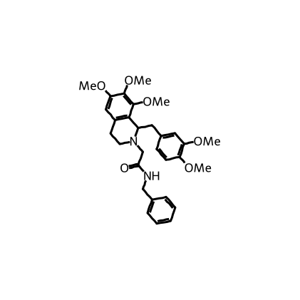 COc1ccc(CC2c3c(cc(OC)c(OC)c3OC)CCN2CC(=O)NCc2ccccc2)cc1OC